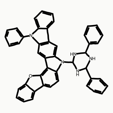 c1ccc(C2NC(c3ccccc3)NC(n3c4cc5c6ccccc6n(-c6ccccc6)c5cc4c4c5oc6ccccc6c5ccc43)N2)cc1